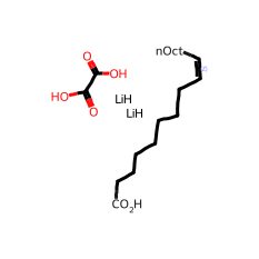 CCCCCCCC/C=C\CCCCCCCC(=O)O.O=C(O)C(=O)O.[LiH].[LiH]